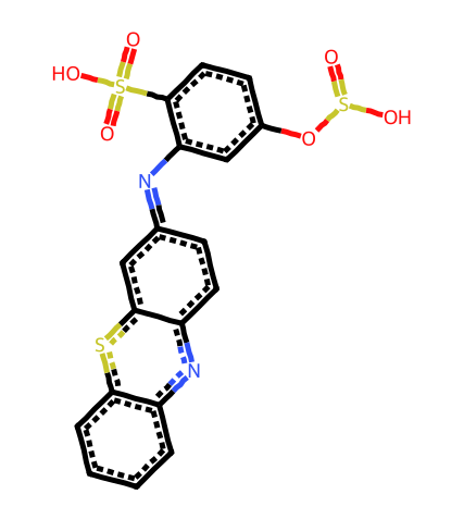 O=S(O)Oc1ccc(S(=O)(=O)O)c(N=c2ccc3nc4ccccc4sc-3c2)c1